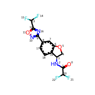 O=C(N[C@@H]1COc2cc(-c3noc(C(F)F)n3)ccc21)C(F)F